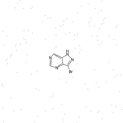 Brc1n[nH]c2cncnc12